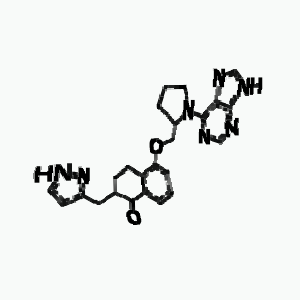 O=C1c2cccc(OCC3CCCN3c3ncnc4[nH]cnc34)c2CCC1Cc1cc[nH]n1